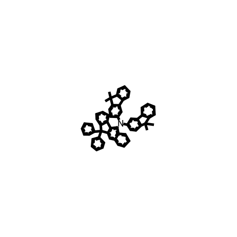 CC1(C)c2ccccc2-c2cc(N(c3ccc4c(c3)-c3ccccc3C4(C)C)c3c4c(cc5ccccc35)C(c3ccccc3)(c3ccccc3)c3ccccc3-4)ccc21